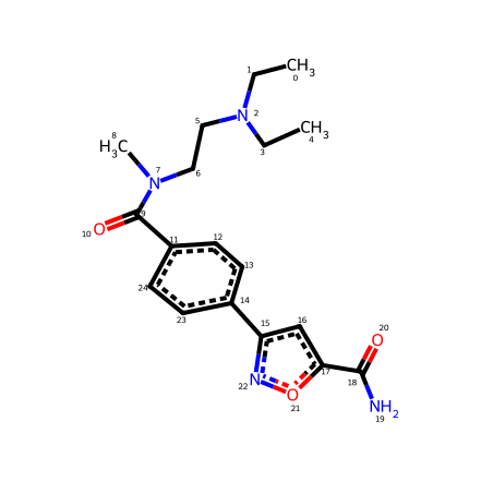 CCN(CC)CCN(C)C(=O)c1ccc(-c2cc(C(N)=O)on2)cc1